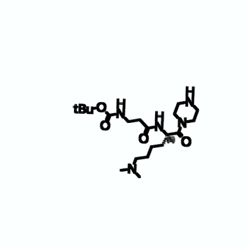 CN(C)CCCC[C@H](NC(=O)CCNC(=O)OC(C)(C)C)C(=O)N1CCNCC1